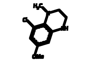 COc1cc(Cl)c2c(c1)NCCN2C